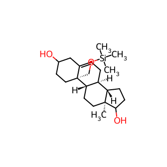 C[C@]12CC[C@H]3[C@@H](CC=C4CC(O)CC[C@@]43CO[Si](C)(C)C)[C@@H]1CCC2O